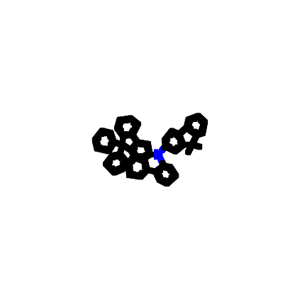 CC1(C)c2ccccc2-c2ccc(N(c3ccc4c(c3)-c3ccccc3C4(c3ccccc3)c3ccccc3)c3ccccc3-c3ccccc3)cc21